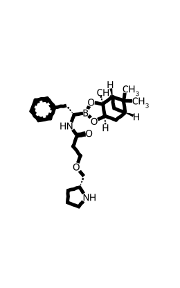 CC1(C)[C@@H]2C[C@H]3OB([C@@H](Cc4ccccc4)NC(=O)CCOC[C@H]4CCCN4)O[C@@]3(C)[C@H]1C2